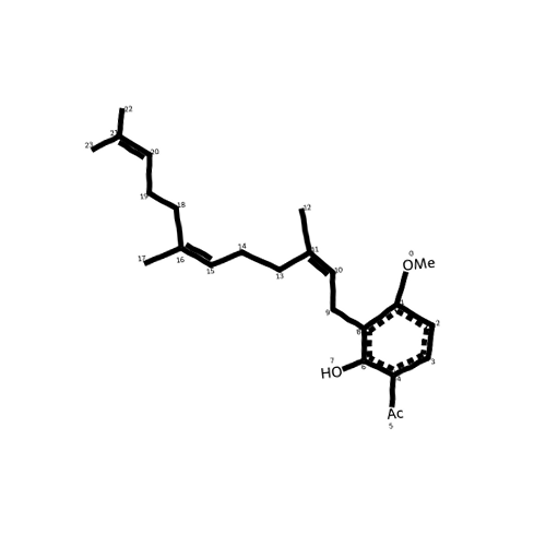 COc1ccc(C(C)=O)c(O)c1CC=C(C)CCC=C(C)CCC=C(C)C